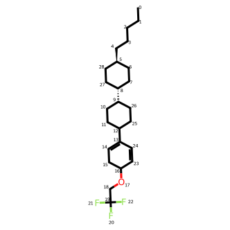 CCCCC[C@H]1CC[C@H](C2CCC(C3=CCC(OCC(F)(F)F)C=C3)CC2)CC1